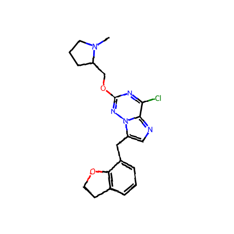 CN1CCCC1COc1nc(Cl)c2ncc(Cc3cccc4c3OCC4)n2n1